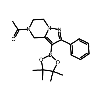 CC(=O)N1CCn2nc(-c3ccccc3)c(B3OC(C)(C)C(C)(C)O3)c2C1